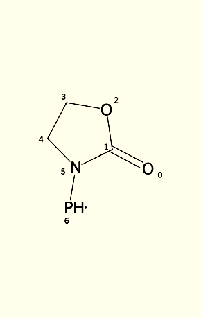 O=C1OCCN1[PH]